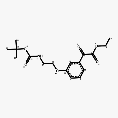 CCOC(=O)C(=O)c1cccc(OCCNC(=O)OC(C)(C)C)c1